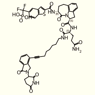 NC(=O)CC[C@H](NC(=O)[C@@H]1Cc2cccc3c2N1C(=O)[C@H](NC(=O)c1cc2cc(C(F)(F)P(=O)(O)O)ccc2s1)CC3)C(=O)NCCCCCCC#Cc1cccc2c1CN(C1CCC(=O)NC1=O)C2=O